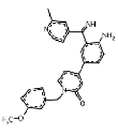 Cc1cc(C(=N)c2cc(-c3ccn(Cc4cccc(OC(F)(F)F)c4)c(=O)c3)ccc2N)ccn1